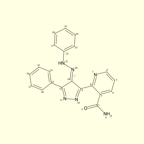 NC(=O)c1cccnc1C1=NN=C(c2ccccc2)/C1=N\Nc1ccccc1